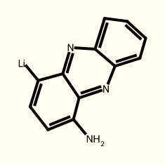 [Li][c]1ccc(N)c2nc3ccccc3nc12